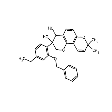 CCc1ccc(C2(O)COc3c(ccc4c3C=CC(C)(C)O4)C2O)c(OCc2ccccc2)c1